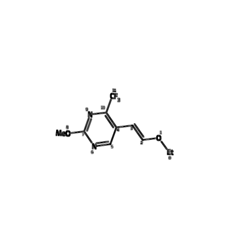 CCO/C=C/c1cnc(OC)nc1C(F)(F)F